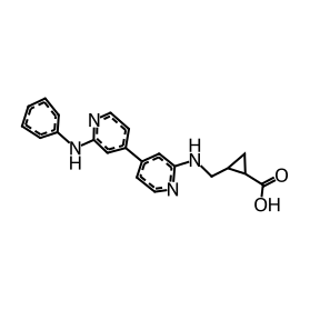 O=C(O)C1CC1CNc1cc(-c2ccnc(Nc3ccccc3)c2)ccn1